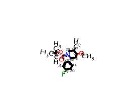 COC1C[C@H](c2ccc(F)cc2)N(C(=O)OC(C)(C)C)C[C@H]1C